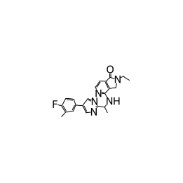 CCN1Cc2c(ccnc2NC(C)c2ncc(-c3ccc(F)c(C)c3)cn2)C1=O